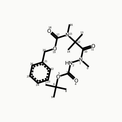 CN(NC(=O)OC(C)(C)C)C(=O)C(C)(C)N(C)C(=O)OCc1ccccc1